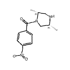 C[C@@H]1CN(C(=O)c2ccc([N+](=O)[O-])cc2)[C@H](C)CN1